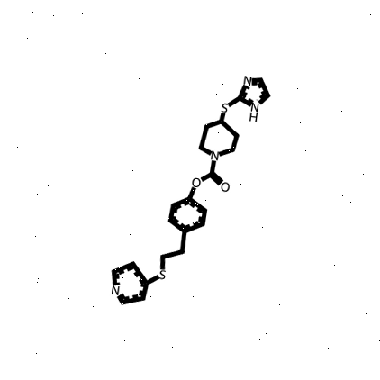 O=C(Oc1ccc(CCSc2ccncc2)cc1)N1CCC(Sc2ncc[nH]2)CC1